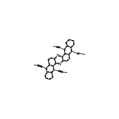 CC#Cc1c2ccccc2c(C#CC)c2c1ccc1nc3c(ccc4c(C#CC)c5ccccc5c(C#CC)c43)nc12